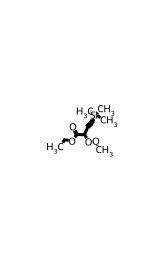 CCOC(=O)C(C#C[Si](C)(C)C)OOC